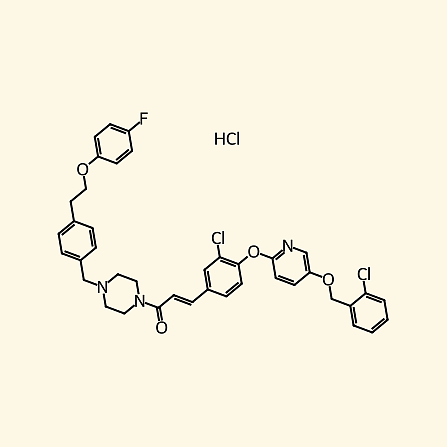 Cl.O=C(C=Cc1ccc(Oc2ccc(OCc3ccccc3Cl)cn2)c(Cl)c1)N1CCN(Cc2ccc(CCOc3ccc(F)cc3)cc2)CC1